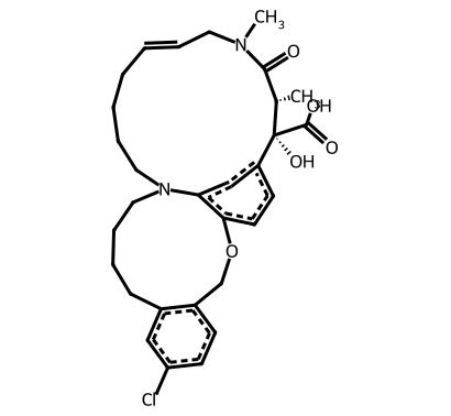 C[C@H]1C(=O)N(C)C/C=C/CCCCN2CCCCc3cc(Cl)ccc3COc3ccc(cc32)[C@]1(O)C(=O)O